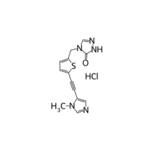 Cl.Cn1cncc1C#Cc1ccc(Cn2cn[nH]c2=O)s1